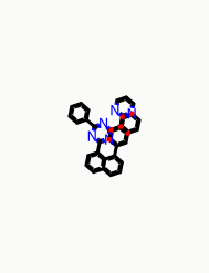 c1ccc(-c2nc(-c3ccccc3)nc(-c3cccc4cccc(-c5ccc(-c6ncccn6)cc5)c34)n2)cc1